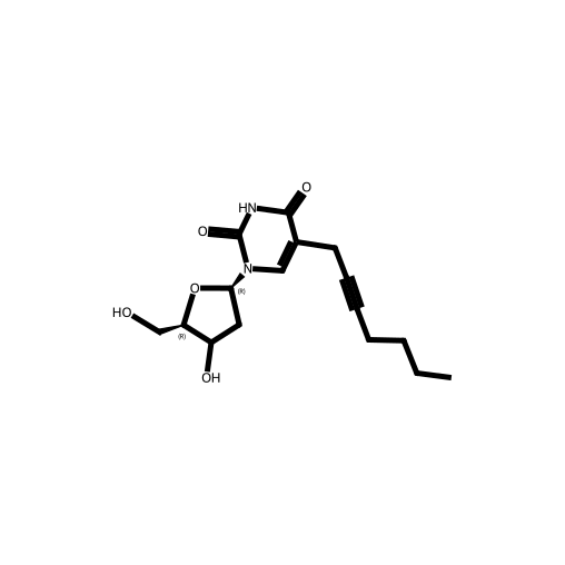 CCCCC#CCc1cn([C@H]2CC(O)[C@@H](CO)O2)c(=O)[nH]c1=O